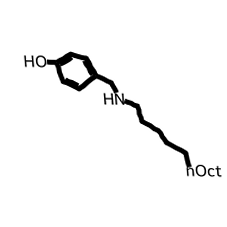 CCCCCCCCCCCCCNCc1ccc(O)cc1